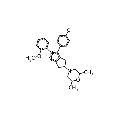 COc1ccccc1-n1nc2c(c1-c1ccc(Cl)cc1)CC(N1CC(C)OC(C)C1)C2